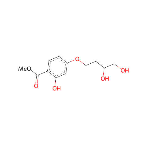 COC(=O)c1ccc(OCCC(O)CO)cc1O